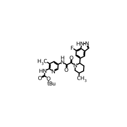 Cc1cc(NC(=O)C(=O)N2CC(C)CCC2c2cc(F)c3[nH]ncc3c2)cnc1NC(=O)OC(C)(C)C